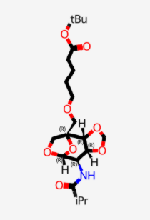 CC(C)C(=O)N[C@H]1[C@@H]2OC[C@@](COCCCCC(=O)OC(C)(C)C)(O2)[C@@H]2OCO[C@H]12